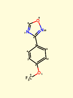 FC(F)(F)Oc1ccc(-c2ncon2)cc1